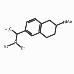 CCN(CC)C(C)c1ccc2c(c1)CCC(NC)C2